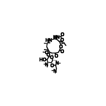 CC[C@H]1OC(=O)CC(=O)[C@H](C)[C@@H](O[C@@H]2O[C@H](CN(C)C(=O)CN(C)C)CC(N(C)C)[C@H]2O)[C@](C)(OC)C[C@@H](C)CN[C@H](C)[C@H]2NC(=O)O[C@@]21C